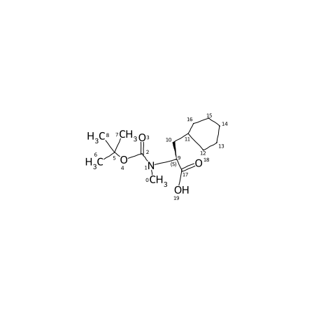 CN(C(=O)OC(C)(C)C)[C@@H](CC1CCCCC1)C(=O)O